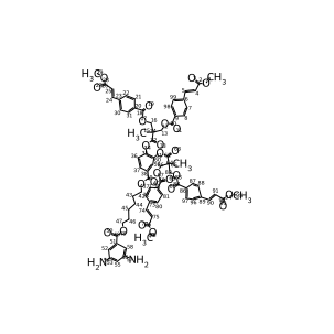 COC(=O)C=Cc1ccc(C(=O)OCC(C)(COC(=O)c2ccc(C=CC(=O)OC)cc2)C(=O)Oc2ccc(C(=O)OCCCCCCOC(=O)c3cc(N)cc(N)c3)cc2OC(=O)C(C)(COC(=O)c2ccc(C=CC(=O)OC)cc2)COC(=O)c2ccc(C=CC(=O)OC)cc2)cc1